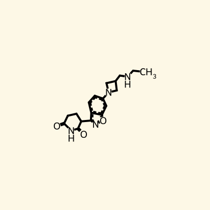 CCNCC1CN(c2ccc3c(C4CCC(=O)NC4=O)noc3c2)C1